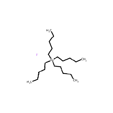 CCCCC[As+](CCCCC)(CCCCC)CCCCC.[I-]